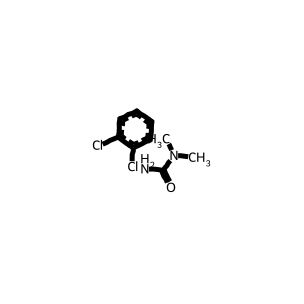 CN(C)C(N)=O.Clc1ccccc1Cl